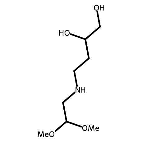 COC(CNCCC(O)CO)OC